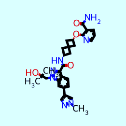 Cn1cc(-c2ccc3c(C(=O)N[C@H]4CC5(C4)C[C@H](Oc4ncccc4C(N)=O)C5)nn(CC(C)(C)O)c3c2)cn1